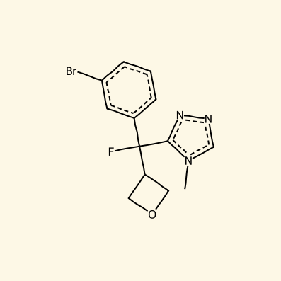 Cn1cnnc1C(F)(c1cccc(Br)c1)C1COC1